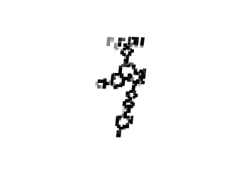 OC1(C(F)(F)F)CC(N2Cc3cc(Cl)ccc3-n3c(nnc3C3CC4(C3)CN(c3ccc(F)cn3)C4)C2)C1